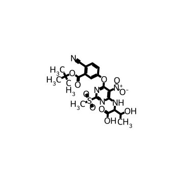 CC(O)C(Nc1nc(S(C)(=O)=O)nc(Oc2ccc(C#N)c(C(=O)OC(C)(C)C)c2)c1[N+](=O)[O-])C(=O)O